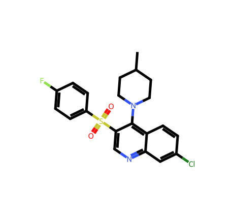 CC1CCN(c2c(S(=O)(=O)c3ccc(F)cc3)cnc3cc(Cl)ccc23)CC1